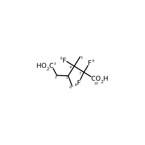 CC(CC(=O)O)C(C)(F)C(F)(F)C(=O)O